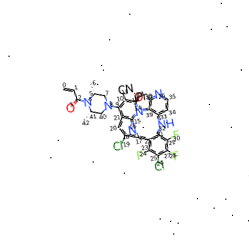 C=CC(=O)N1[C@H](C)CN(c2c(C#N)c(=O)n3c4nc(c(Cl)cc24)c2c(F)c(Cl)c(F)c(F)c2[nH]c2ccnc(C(C)C)c23)C[C@@H]1C